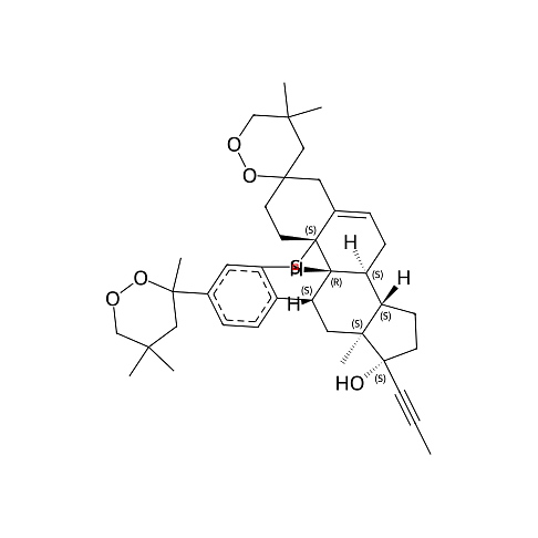 CC#C[C@]1(O)CC[C@H]2[C@@H]3CC=C4CC5(CC[C@@]46Sc4cc(C7(C)CC(C)(C)COO7)ccc4[C@@H](C[C@@]21C)[C@@H]36)CC(C)(C)COO5